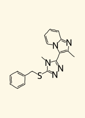 Cc1nc2ccccn2c1-c1nnc(SCc2ccccc2)n1C